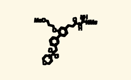 CNC(=N)NC(=O)CCc1ccc(-c2cccc(CS(=O)(=O)N3CCOCC3)c2)c(OCCCOC)c1